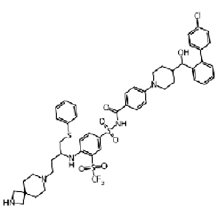 O=C(NS(=O)(=O)c1ccc(NC(CCN2CCC3(CC2)CNC3)CSc2ccccc2)c(S(=O)(=O)C(F)(F)F)c1)c1ccc(N2CCC(C(O)c3ccccc3-c3ccc(Cl)cc3)CC2)cc1